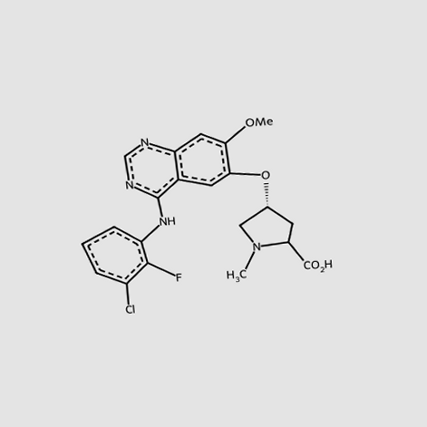 COc1cc2ncnc(Nc3cccc(Cl)c3F)c2cc1O[C@@H]1CC(C(=O)O)N(C)C1